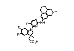 CN1Cc2cc(Nc3ncc(F)c(N4CC(C)(CC(=O)O)C5=C4CC(F)C(F)=C5)n3)cc3c2C(CCC3)C1